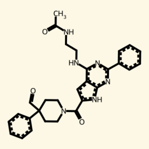 CC(=O)NCCNc1nc(-c2ccccc2)nc2[nH]c(C(=O)N3CCC(C=O)(c4ccccc4)CC3)cc12